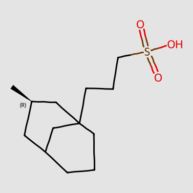 C[C@@H]1CC2CCCC(CCCS(=O)(=O)O)(C2)C1